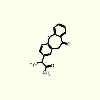 CC(C(N)=O)c1ccc2c(c1)CC(=O)c1ccccc1S2